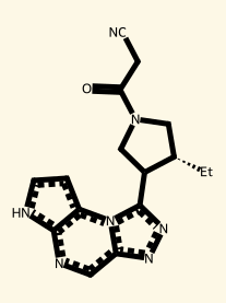 CC[C@H]1CN(C(=O)CC#N)CC1c1nnc2cnc3[nH]ccc3n12